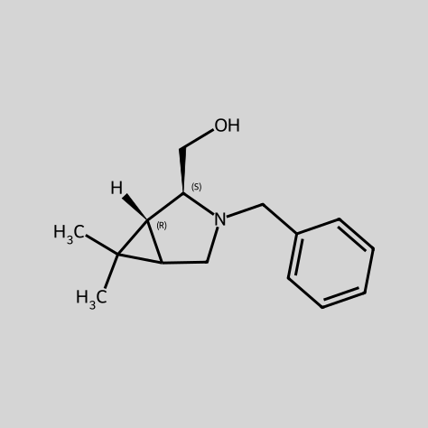 CC1(C)C2CN(Cc3ccccc3)[C@H](CO)[C@H]21